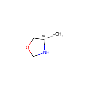 C[C@H]1COCN1